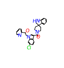 O=C(Cn1cc(C(=O)N2CCC3(CC2)CNc2ccccc23)c2ccc(Cl)cc21)c1ccccn1